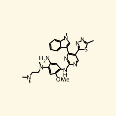 COc1cc(N(C)CCN(C)C)c(N)cc1Nc1ncc(-c2nnc(C)s2)c(-c2cn(C)c3ccccc23)n1